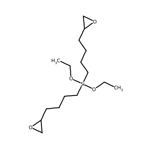 CCO[Si](CCCCC1CO1)(CCCCC1CO1)OCC